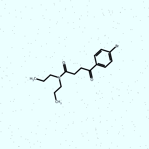 CCCN(CCC)C(=O)CCC(=O)c1ccc(Br)cc1